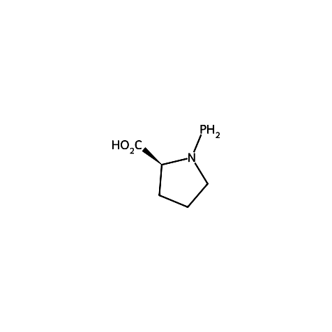 O=C(O)[C@@H]1CCCN1P